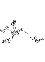 COC(=O)CCCCCCCCCCC(=O)N[C@@H]1O[C@H](COCCC(=O)OC(C)(C)C)[C@@H](OCCC(=O)OC(C)(C)C)[C@H](OCCC(=O)OC(C)(C)C)[C@H]1F